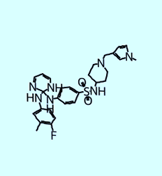 Cc1cc(NC2(Nc3ccc(S(=O)(=O)NC4CCN(Cc5ccn(C)c5)CC4)cc3)N=CC=CN2)ccc1F